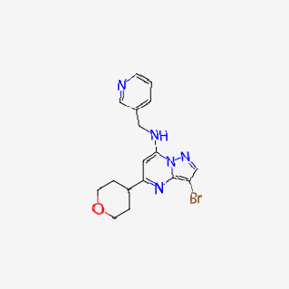 Brc1cnn2c(NCc3cccnc3)cc(C3CCOCC3)nc12